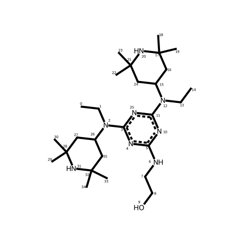 CCN(c1nc(NCCO)nc(N(CC)C2CC(C)(C)NC(C)(C)C2)n1)C1CC(C)(C)NC(C)(C)C1